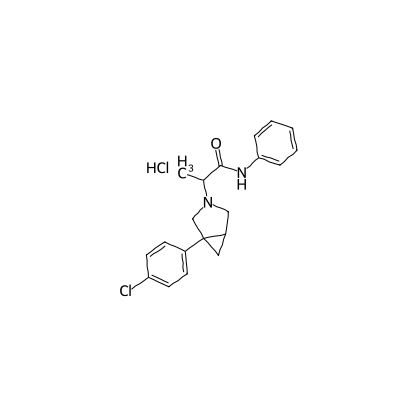 CC(C(=O)Nc1ccccc1)N1CC2CC2(c2ccc(Cl)cc2)C1.Cl